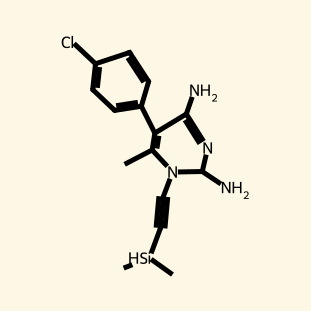 CC1=C(c2ccc(Cl)cc2)C(N)=NC(N)N1C#C[SiH](C)C